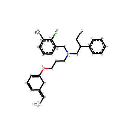 CC(C)CC(CN(CCCOC1=CC=C/C(=C\C(=O)O)C1)Cc1cccc(C(F)(F)F)c1Cl)c1ccccc1